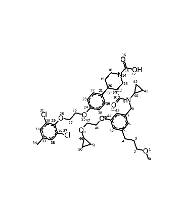 COCCCc1cc(CN(C(=O)[C@H]2CN(C(=O)O)CC[C@@H]2c2ccc(OCCOc3c(Cl)cc(C)cc3Cl)cc2)C2CC2)cc(OCCOC2CC2)c1